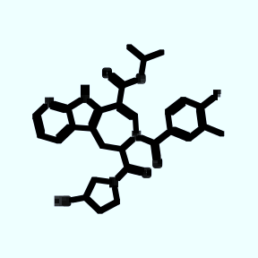 Cc1cc(C(=O)N2C=C(C(=O)OC(C)C)c3[nH]c4ncccc4c3CC2C(=O)N2CCC(O)C2)ccc1F